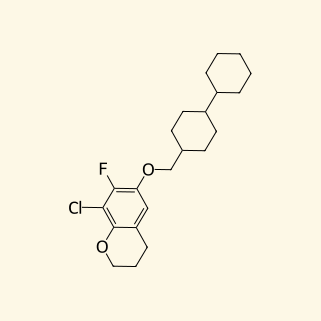 Fc1c(OCC2CCC(C3CCCCC3)CC2)cc2c(c1Cl)OCCC2